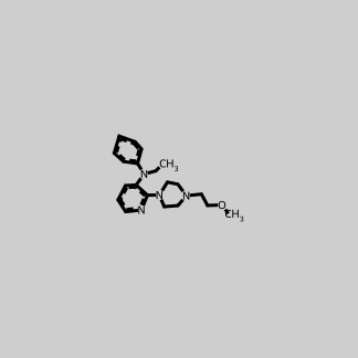 CCN(c1ccccc1)c1cccnc1N1CCN(CCOC)CC1